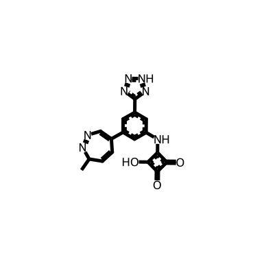 CC1C=CC(c2cc(Nc3c(O)c(=O)c3=O)cc(-c3nn[nH]n3)c2)=CN=N1